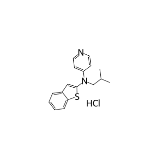 CC(C)CN(c1ccncc1)c1cc2ccccc2s1.Cl